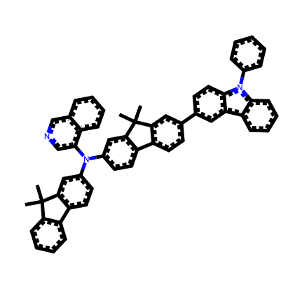 CC1(C)c2ccccc2-c2ccc(N(c3ccc4c(c3)C(C)(C)c3cc(-c5ccc6c(c5)c5ccccc5n6-c5ccccc5)ccc3-4)c3cncc4ccccc34)cc21